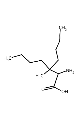 CCCCC(C)(CCCC)C(N)C(=O)O